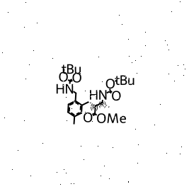 COC(=O)[C@H](Cc1cc(C)ccc1CNC(=O)OC(C)(C)C)[C@@H](C)NC(=O)OC(C)(C)C